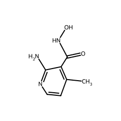 Cc1ccnc(N)c1C(=O)NO